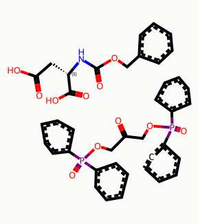 O=C(COP(=O)(c1ccccc1)c1ccccc1)COP(=O)(c1ccccc1)c1ccccc1.O=C(O)C[C@H](NC(=O)OCc1ccccc1)C(=O)O